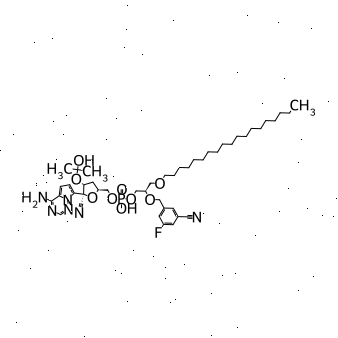 CCCCCCCCCCCCCCCCCCCOC[C@H](COP(=O)(O)OC[C@@H]1C[C@@H](OC(C)(C)O)[C@](C#N)(c2ccc3c(N)ncnn23)O1)OCc1cc(F)cc(C#N)c1